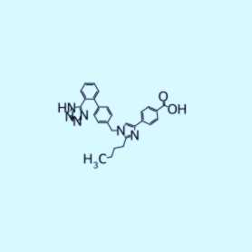 CCCCc1nc(-c2ccc(C(=O)O)cc2)cn1Cc1ccc(-c2ccccc2-c2nnn[nH]2)cc1